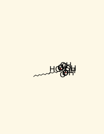 CCCCCCCCC=CCCCCCC(C(=O)O)(C(=O)O)C(C(=O)O)(C(=O)O)C(=O)O